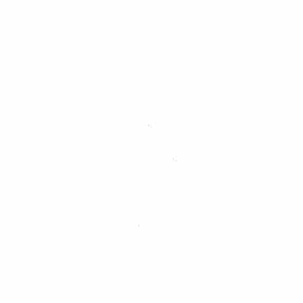 COc1ccc2c(c1)CN(C(=O)CCN1CCC(Cc3ccc(N)cc3)CC1)CCS2